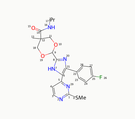 CSc1nccc(-c2[nH]c(C3OCC(C)(C(=O)NC(C)C)CO3)nc2-c2ccc(F)cc2)n1